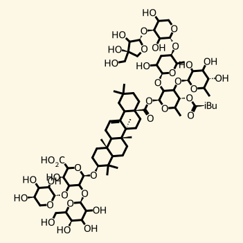 CC[C@H](C)C(=O)O[C@@H]1C(C)O[C@@H](OC(=O)[C@]23CCC(C)(C)CC2C2=CCC4[C@@]5(C)CC[C@H](O[C@@H]6OC(C(=O)O)[C@@H](O)C(O[C@@H]7OC[C@@H](O)C(O)C7O)C6O[C@@H]6OC(CO)[C@H](O)C(O)C6O)C(C)(C)C5CC[C@@]4(C)[C@]2(C)CC3)C(O[C@@H]2OC(C)[C@H](O[C@H]3OCC(O)[C@H](O[C@@H]4OC[C@](O)(CO)C4O)C3O)CC2O)C1O[C@@H]1OC(C)[C@@H](O)C(O)C1O